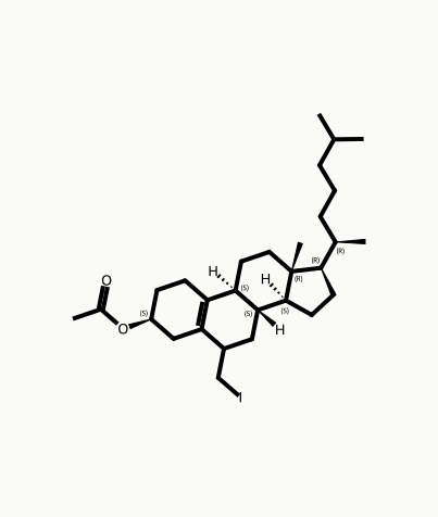 CC(=O)O[C@H]1CCC2=C(C1)C(CI)C[C@@H]1[C@@H]2CC[C@]2(C)[C@@H]([C@H](C)CCCC(C)C)CC[C@@H]12